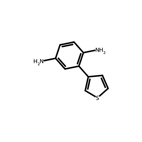 Nc1ccc(N)c(-c2ccsc2)c1